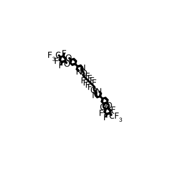 Fc1c(F)c(C(F)(F)F)c(F)c2c1Oc1cc(-c3cnc(OCC(F)(F)C(F)(F)C(F)(F)C(F)(F)COc4ncc(-c5ccc6c(c5)Oc5c(F)c(F)c(C(F)(F)F)c(F)c5O6)cn4)nc3)ccc1O2